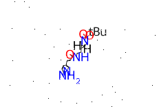 CC(C)(C)OC(=O)N1C[C@@H]2C(CCNC(=O)/C=C/c3ccc(N)nc3)[C@@H]2C1